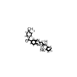 CN1CCN(C(=O)c2ccc3[nH]c(CC(=O)Nc4sccc4C#N)nc3c2)CC1